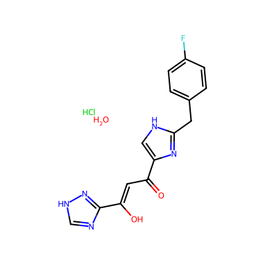 Cl.O.O=C(C=C(O)c1nc[nH]n1)c1c[nH]c(Cc2ccc(F)cc2)n1